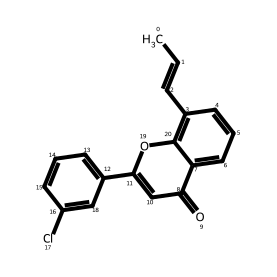 CC=Cc1cccc2c(=O)cc(-c3cccc(Cl)c3)oc12